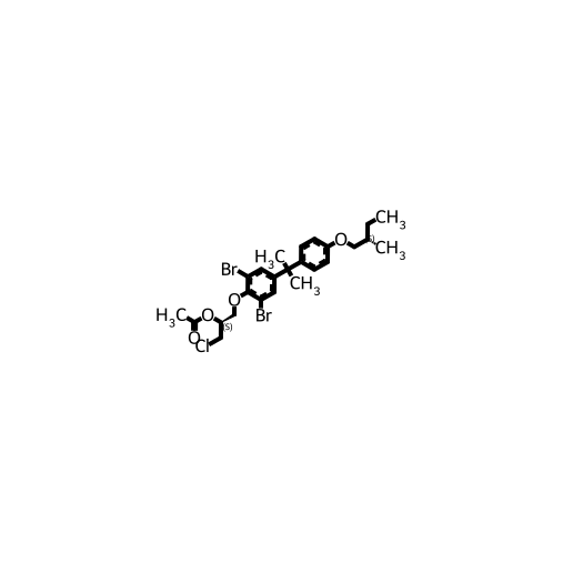 CC[C@H](C)COc1ccc(C(C)(C)c2cc(Br)c(OC[C@@H](CCl)OC(C)=O)c(Br)c2)cc1